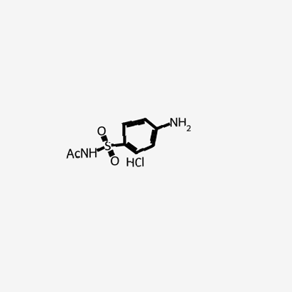 CC(=O)NS(=O)(=O)c1ccc(N)cc1.Cl